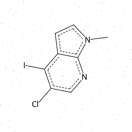 Cn1ccc2c(I)c(Cl)cnc21